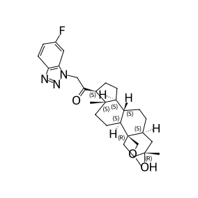 COC[C@]12CC[C@@](C)(O)C[C@@H]1CC[C@H]1[C@@H]3CC[C@H](C(=O)Cn4nnc5ccc(F)cc54)[C@@]3(C)CC[C@@H]12